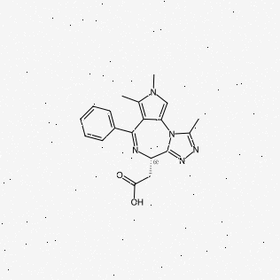 Cc1c2c(cn1C)-n1c(C)nnc1[C@H](CC(=O)O)N=C2c1ccccc1